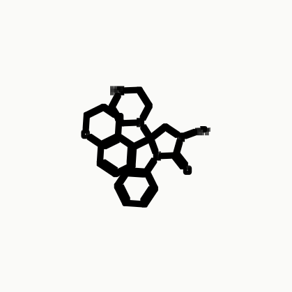 CCCN1CC(c2cccc3c2OCCO3)(N2CCNCC2)N(c2ccccc2)C1=O